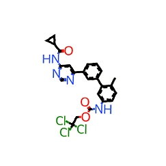 Cc1ccc(NC(=O)OCC(Cl)(Cl)Cl)cc1-c1cccc(-c2cc(NC(=O)C3CC3)ncn2)c1